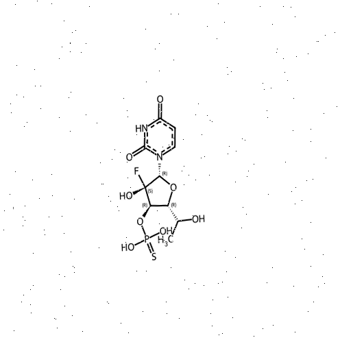 CC(O)[C@H]1O[C@@H](n2ccc(=O)[nH]c2=O)[C@@](O)(F)[C@@H]1OP(O)(O)=S